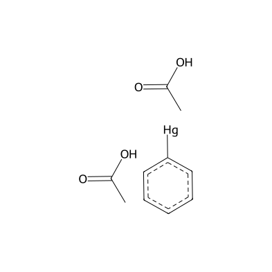 CC(=O)O.CC(=O)O.[Hg][c]1ccccc1